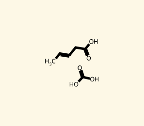 CC=CCC(=O)O.O=C(O)O